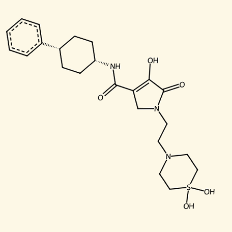 O=C(N[C@H]1CC[C@@H](c2ccccc2)CC1)C1=C(O)C(=O)N(CCN2CCS(O)(O)CC2)C1